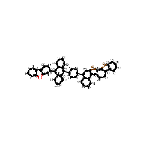 c1ccc2c(c1)oc1cc(-c3c4ccccc4c(-c4ccc(-c5cc6sc7c(ccc8c9ccccc9sc87)c6c6ccccc56)cc4)c4ccccc34)ccc12